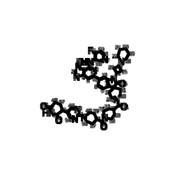 CC(C)n1cnc2cc(-c3ccc4c(c3)N([C@H]3C[C@@H](N5CCCCC5)C3)C(=O)C43CCN(C(=O)C4CCN(C(=O)C5CCN(c6ncc(C7CCC(=O)NC7=O)cn6)CC5)CC4)CC3)nc(Nc3cnccc3F)c21